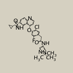 CC(C)(C)n1cc(NC(=O)Cc2cc(Cl)c(Oc3ccnc4ccc(S(=N)(=O)C5CC5)cc34)cc2F)cn1